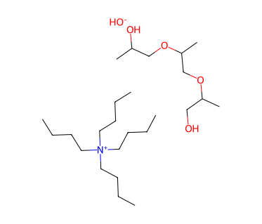 CC(O)COC(C)COC(C)CO.CCCC[N+](CCCC)(CCCC)CCCC.[OH-]